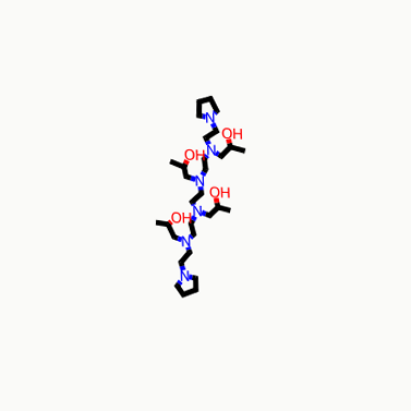 CC(O)CN(CCN1CCCC1)CCN(CCN(CCN(CCN1CCCC1)CC(C)O)CC(C)O)CC(C)O